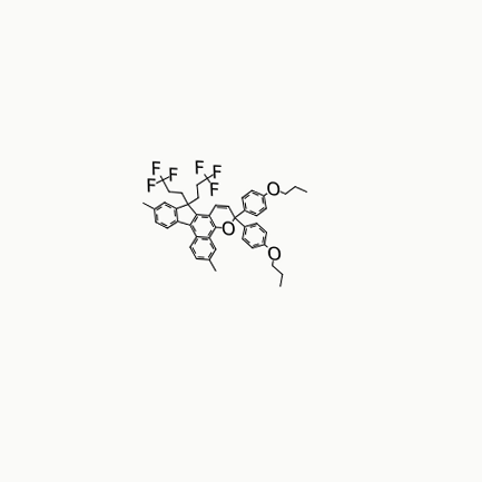 CCCOc1ccc(C2(c3ccc(OCCC)cc3)C=Cc3c4c(c5ccc(C)cc5c3O2)-c2ccc(C)cc2C4(CCC(F)(F)F)CCC(F)(F)F)cc1